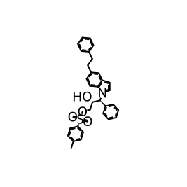 Cc1ccc(S(=O)(=O)OC[C@@H](O)[C@H](c2ccccc2)n2ccc3cc(CCc4ccccc4)ccc32)cc1